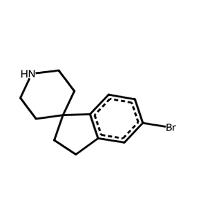 Brc1ccc2c(c1)CCC21CCNCC1